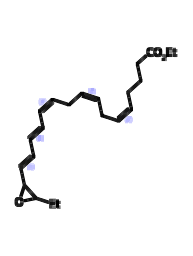 CCOC(=O)CCC/C=C\C/C=C\C\C=C/C=C/C=C/C1OC1CC